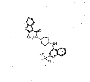 Cc1oc2ccccc2c1C(=O)NC1CCC(Nc2cc(C(C)(C)F)nc3ccccc23)CC1